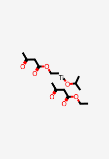 CC(C)[O][Ti].CCOC(=O)CC(C)=O.CCOC(=O)CC(C)=O